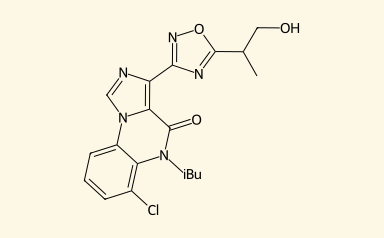 CCC(C)n1c(=O)c2c(-c3noc(C(C)CO)n3)ncn2c2cccc(Cl)c21